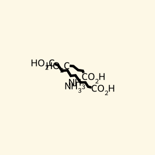 N.N.O=C(O)CCCC(=O)O.O=C(O)CCCCCCCCC(=O)O